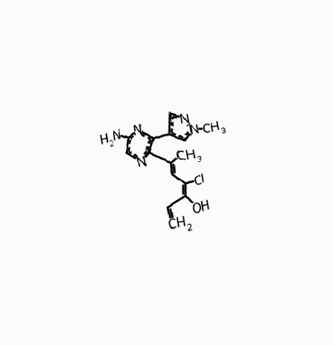 C=C/C(O)=C(Cl)\C=C(/C)c1ncc(N)nc1-c1cnn(C)c1